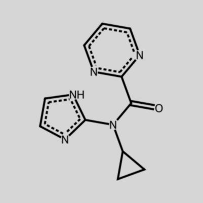 O=C(c1ncccn1)N(c1ncc[nH]1)C1CC1